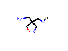 CNCC(CN)(CN)CO